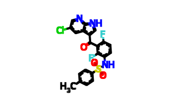 Cc1ccc(S(=O)(=O)Nc2ccc(F)c(C(=O)c3c[nH]c4ncc(Cl)cc34)c2F)cc1